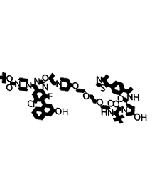 Cc1ncsc1-c1ccc(C(C)NC(=O)[C@@H]2C[C@@H](O)CN2C(=O)C(NC(=O)COCCOCCOC2CCN(CC(C)Oc3nc(N4CCN(C(=O)OC(C)(C)C)CC4)c4cc(Cl)c(-c5cc(O)cc6ccccc56)c(F)c4n3)CC2)C(C)(C)C)cc1